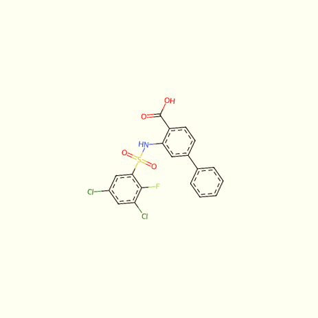 O=C(O)c1ccc(-c2ccccc2)cc1NS(=O)(=O)c1cc(Cl)cc(Cl)c1F